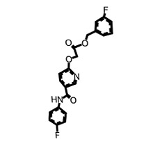 O=C(COc1ccc(C(=O)Nc2ccc(F)cc2)cn1)OCc1cccc(F)c1